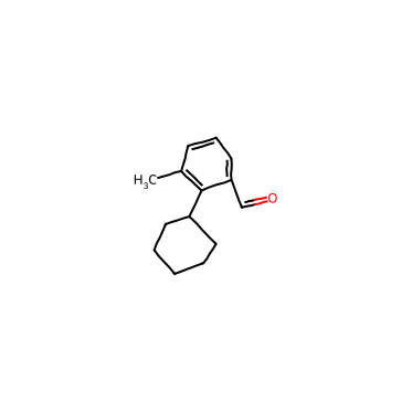 Cc1cccc(C=O)c1C1CCCCC1